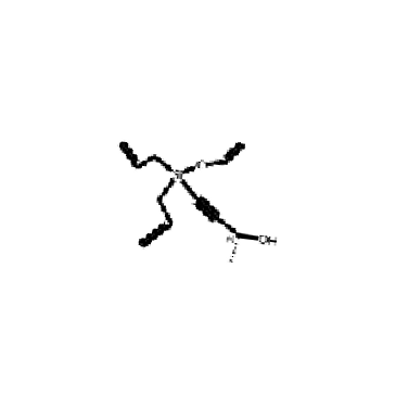 C=CC[Si](C#C[C@@H](C)O)(CC=C)CC=C